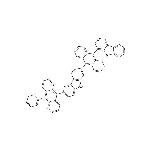 C1=CCCC(c2c3ccccc3c(-c3ccc4oc5cc(-c6c7c(c(-c8cccc9c8sc8ccccc89)c8ccccc68)CCC=C7)ccc5c4c3)c3ccccc23)=C1